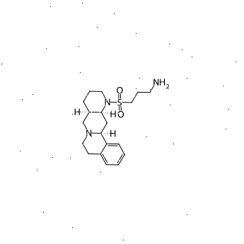 NCCCS(=O)(=O)N1CCC[C@@H]2CN3CCc4ccccc4[C@@H]3C[C@@H]21